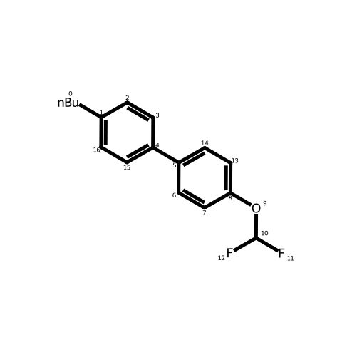 CCCCc1ccc(-c2ccc(OC(F)F)cc2)cc1